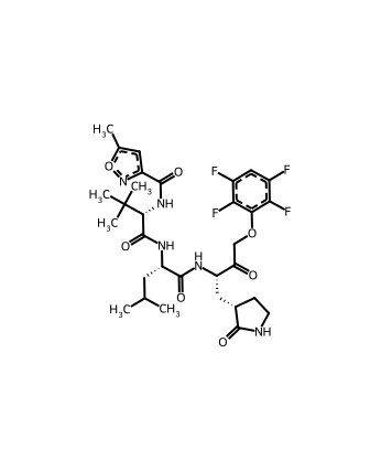 Cc1cc(C(=O)N[C@H](C(=O)N[C@@H](CC(C)C)C(=O)N[C@@H](C[C@@H]2CCNC2=O)C(=O)COc2c(F)c(F)cc(F)c2F)C(C)(C)C)no1